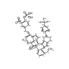 CCc1cccc(CC)c1-n1nc2c(c1-c1cc(F)c(OC)c3c1ccn3C(=O)OCc1ccc(OP(=O)(O)O)c([N+](=O)[O-])c1)CN(c1ncc(C(F)(F)F)cn1)CC2